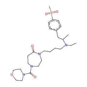 CCN(CCCCN1CCN(C(=O)N2CCOCC2)CCC1=O)C(C)Cc1ccc(S(C)(=O)=O)cc1